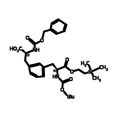 CC(C)(C)OC(=O)N[C@@H](Cc1cccc(C[C@H](NC(=O)OCc2ccccc2)C(=O)O)c1)C(=O)OCC[Si](C)(C)C